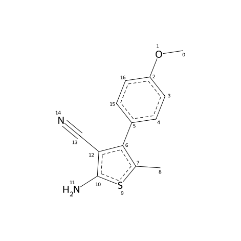 COc1ccc(-c2c(C)sc(N)c2C#N)cc1